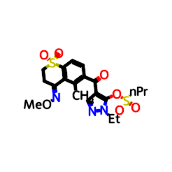 CCCS(=O)(=O)Oc1c(C(=O)c2ccc3c(c2C)C(=NOC)CCS3(=O)=O)cnn1CC